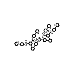 O=C(Oc1ccc(-c2ccccn2)cc1)c1cc(C(=O)Oc2ccc(-c3ccccn3)cc2)cc(-c2ccccc2C2=CCC(c3cc(-c4ccc(-c5ccccc5-c5cc(C(=O)Oc6ccc(-c7ccccn7)cc6)cc(C(=O)OC6C=CC(c7ccccn7)=CC6)c5)cc4)ncn3)C=C2)c1